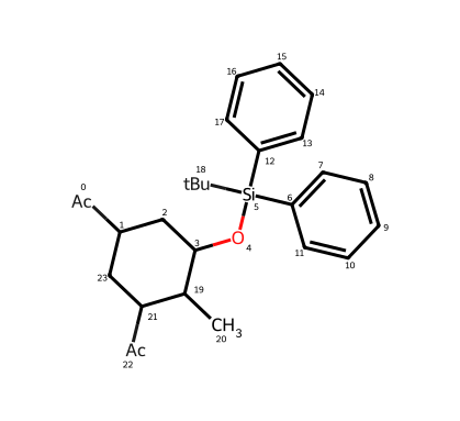 CC(=O)C1CC(O[Si](c2ccccc2)(c2ccccc2)C(C)(C)C)C(C)C(C(C)=O)C1